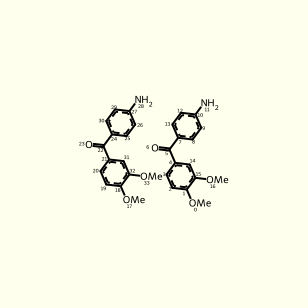 COc1ccc(C(=O)c2ccc(N)cc2)cc1OC.COc1ccc(C(=O)c2ccc(N)cc2)cc1OC